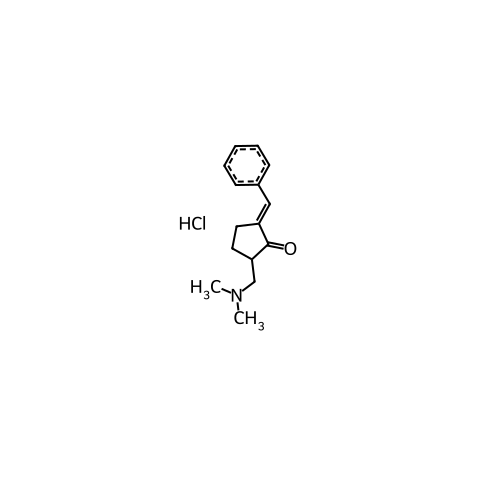 CN(C)CC1CC/C(=C\c2ccccc2)C1=O.Cl